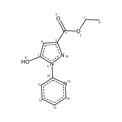 CCOC(=O)c1cc(O)n(-c2ccccn2)n1